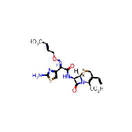 C=CC1=C(C(=O)O)N2C(=O)C(NC(=O)/C(=N/OC/C=C/C(=O)O)c3csc(N)n3)[C@H]2SC1